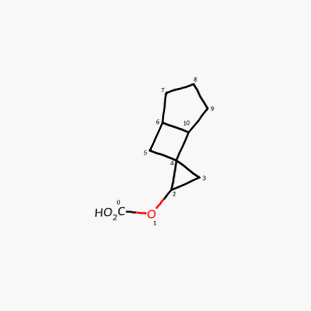 O=C(O)OC1CC12CC1CCCC12